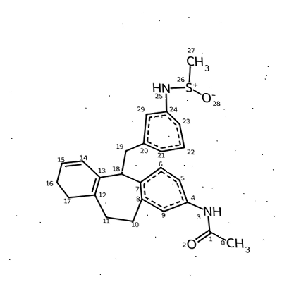 CC(=O)Nc1ccc2c(c1)CCC1=C(C=CCC1)C2Cc1cccc(N[S+](C)[O-])c1